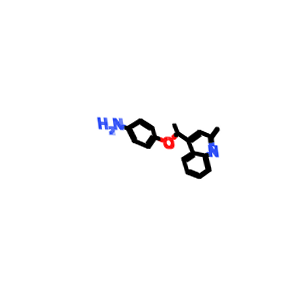 Cc1cc(C(C)Oc2ccc(N)cc2)c2ccccc2n1